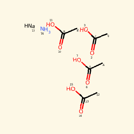 CC(=O)O.CC(=O)O.CC(=O)O.CC(=O)O.N.[NaH]